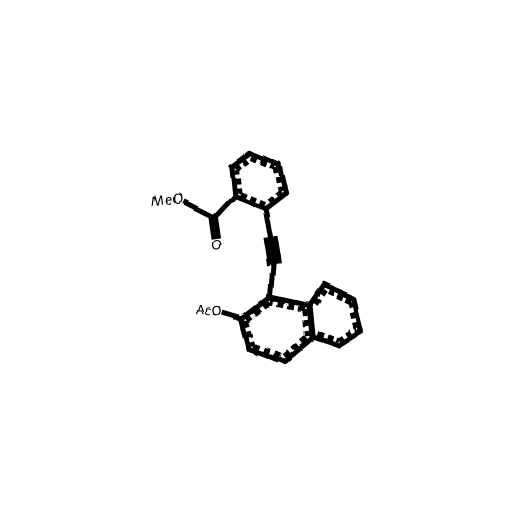 COC(=O)c1ccccc1C#Cc1c(OC(C)=O)ccc2ccccc12